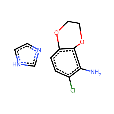 Nc1c(Cl)ccc2c1OCCO2.c1c[nH]cn1